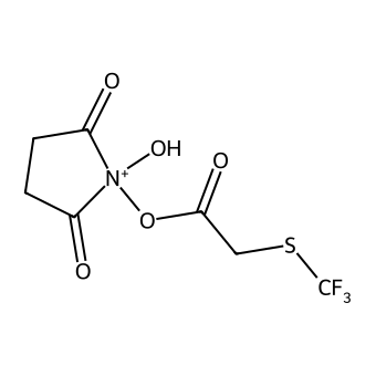 O=C(CSC(F)(F)F)O[N+]1(O)C(=O)CCC1=O